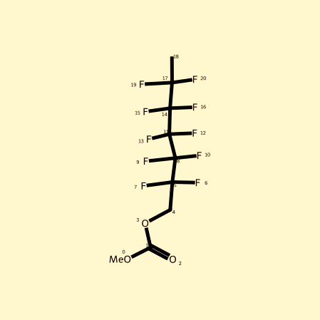 COC(=O)OCC(F)(F)C(F)(F)C(F)(F)C(F)(F)C(C)(F)F